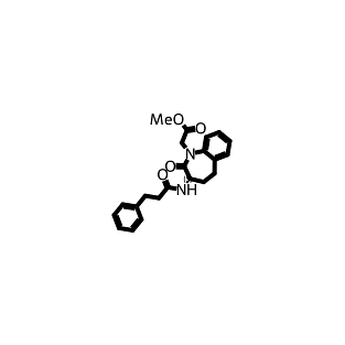 COC(=O)CN1C(=O)[C@@H](NC(=O)CCc2ccccc2)CCc2ccccc21